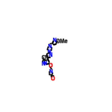 COc1ccc(CN2CCN(c3ccc(-c4cc(OCCN5CCC6(COC6)C5)cn5ncc(C#N)c45)cn3)CC2)cn1